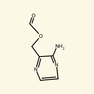 Nc1nccnc1COC=O